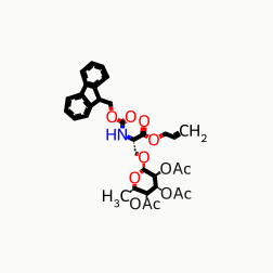 C=CCOC(=O)[C@H](CO[C@@H]1O[C@@H](C)[C@@H](OC(C)=O)[C@@H](OC(C)=O)[C@@H]1OC(C)=O)NC(=O)OCC1c2ccccc2-c2ccccc21